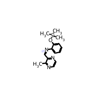 Cc1nccnc1/C=N\c1ccccc1O[Si](C)(C)C